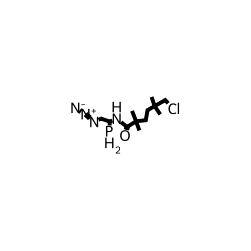 CC(C)(CCl)CCC(C)(C)C(=O)NC(P)CN=[N+]=[N-]